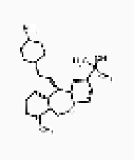 CN1CCC=C2/C(=C\CN3CCC(N)CC3)C3C=C(C(C)(C)O)C=CC3OCC21